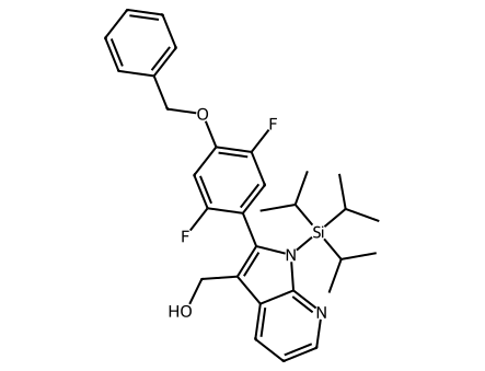 CC(C)[Si](C(C)C)(C(C)C)n1c(-c2cc(F)c(OCc3ccccc3)cc2F)c(CO)c2cccnc21